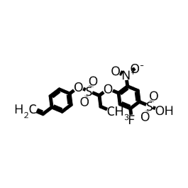 C=Cc1ccc(OS(=O)(=O)C(CC)Oc2cc(F)c(S(=O)(=O)O)cc2[N+](=O)[O-])cc1